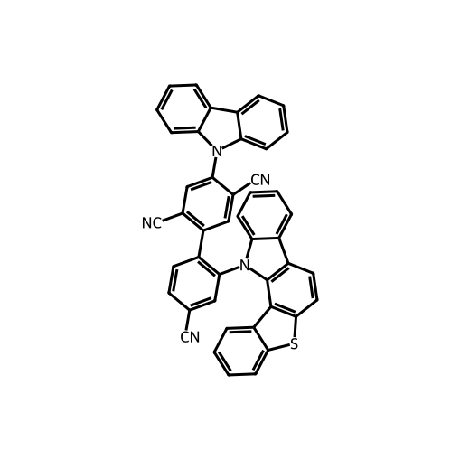 N#Cc1ccc(-c2cc(C#N)c(-n3c4ccccc4c4ccccc43)cc2C#N)c(-n2c3ccccc3c3ccc4sc5ccccc5c4c32)c1